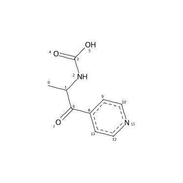 CC(NC(=O)O)C(=O)c1ccncc1